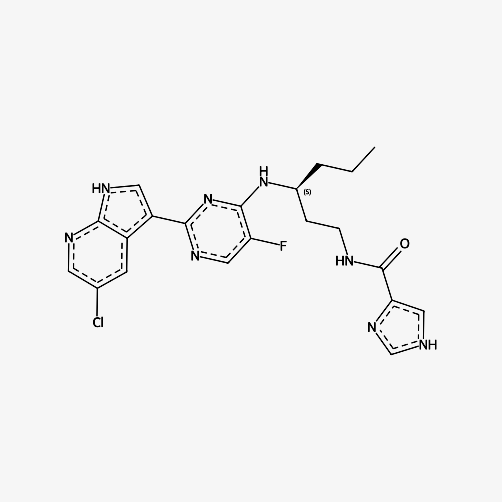 CCC[C@@H](CCNC(=O)c1c[nH]cn1)Nc1nc(-c2c[nH]c3ncc(Cl)cc23)ncc1F